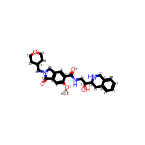 CCOc1cc2c(cc1C(=O)NCC(O)C1Cc3ccccc3CN1)CN(CC1CCOCC1)C2=O